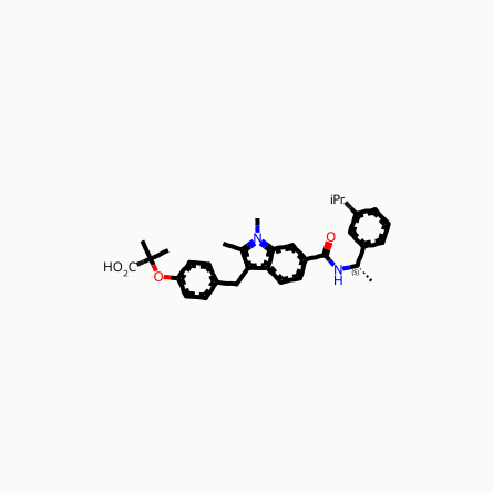 Cc1c(Cc2ccc(OC(C)(C)C(=O)O)cc2)c2ccc(C(=O)N[C@@H](C)c3cccc(C(C)C)c3)cc2n1C